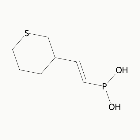 OP(O)/C=C/C1CCCSC1